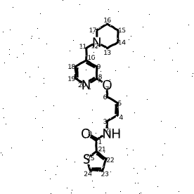 O=C(NC/C=C\COc1cc(CN2CCCCC2)ccn1)c1cccs1